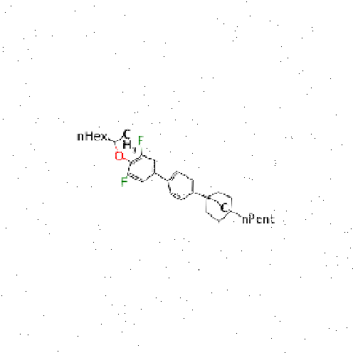 CCCCCC[C@@H](C)Oc1c(F)cc(-c2ccc(C34CCC(CCCCC)(CC3)CC4)cc2)cc1F